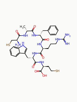 C[C@@H](NC(=O)[C@@H](N)CS)C(=O)N[C@H](Cc1ccccc1)C(=O)N[C@@H](CCCNC(=N)N)C(=O)N[C@@H](Cc1c[nH]c2ccccc12)C(=O)N[C@@H](CCS)C(=O)O